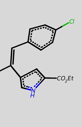 CCOC(=O)c1cc(/C(C)=C\c2ccc(Cl)cc2)c[nH]1